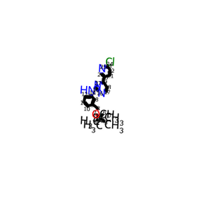 CC(C)(C)[Si](C)(C)OCc1cccc(Nc2nccc(-c3ccc(Cl)nc3)n2)c1